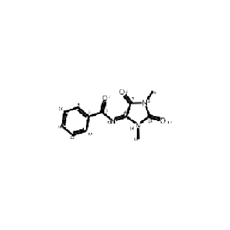 CN1C(=O)C(=NC(=O)c2ccccc2)N(C)C1=O